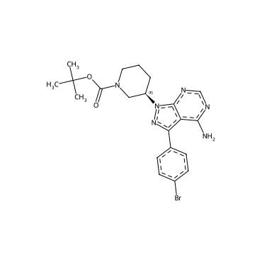 CC(C)(C)OC(=O)N1CCC[C@@H](n2nc(-c3ccc(Br)cc3)c3c(N)ncnc32)C1